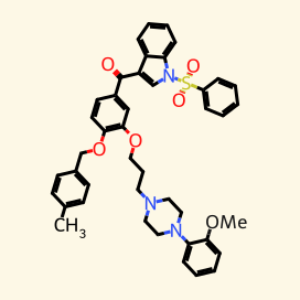 COc1ccccc1N1CCN(CCCOc2cc(C(=O)c3cn(S(=O)(=O)c4ccccc4)c4ccccc34)ccc2OCc2ccc(C)cc2)CC1